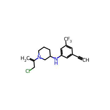 C#Cc1cc(NC2CCCN(C(=C)CCl)C2)cc(C(F)(F)F)c1